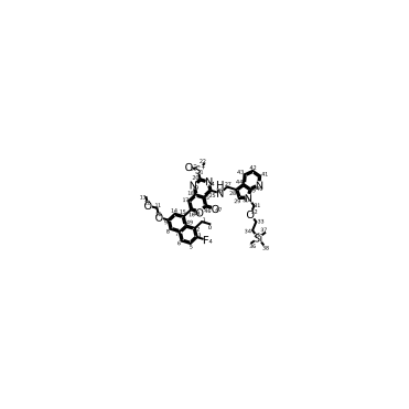 CCc1c(F)ccc2cc(OCOC)cc(-c3cc4nc([S+](C)[O-])nc(NCc5cn(COCC[Si](C)(C)C)c6ncccc56)c4c(=O)o3)c12